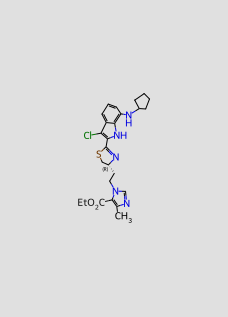 CCOC(=O)c1c(C)ncn1CC[C@@H]1CSC(c2[nH]c3c(NC4CCCC4)cccc3c2Cl)=N1